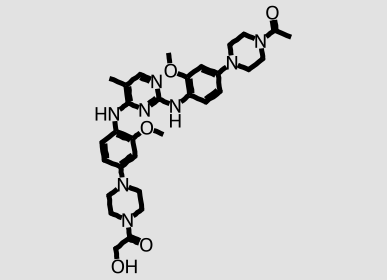 COc1cc(N2CCN(C(C)=O)CC2)ccc1Nc1ncc(C)c(Nc2ccc(N3CCN(C(=O)CO)CC3)cc2OC)n1